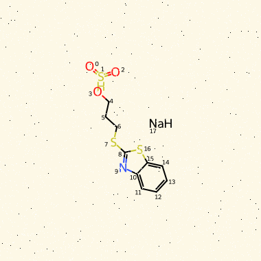 O=[SH](=O)OCCCSc1nc2ccccc2s1.[NaH]